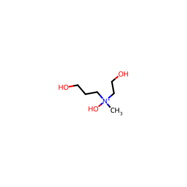 C[N+](O)(CCO)CCCO